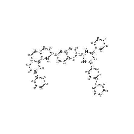 c1ccc(-c2ccc(-c3nc(-c4ccccc4)nc(-c4ccc5cc(-c6ccc7ccc8ccc(-c9ccccc9)nc8c7n6)ccc5c4)n3)cc2)cc1